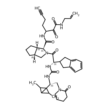 C#CCCC(NC(=O)[C@@H]1[C@H]2CCC[C@H]2CN1C(=O)[C@@H](NC(=O)N[C@H](CN1CCCCC1=O)C12C(C)C1C2C)C1Cc2ccccc2C1)C(=O)C(=O)NCC=C